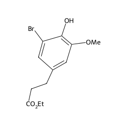 CCOC(=O)CCc1cc(Br)c(O)c(OC)c1